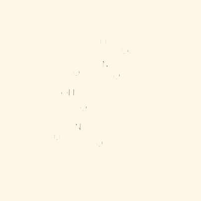 CO.O=[N+]([O-])[O-].O=[N+]([O-])[O-].[Co+2]